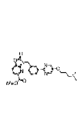 COC(=O)c1ccc2oc(=O)n(Cc3cccc(-c4ncc(OCCCN(C)C)cn4)c3)c2n1